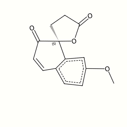 COc1ccc2c(c1)[C@@]1(CCC(=O)O1)C(=O)C=C2